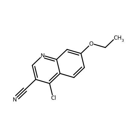 CCOc1ccc2c(Cl)c(C#N)cnc2c1